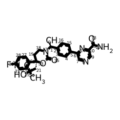 C[C@@H](c1ccc(-c2cncc(C(N)=O)n2)cc1)N1CC[C@](CC(C)(C)O)(c2ccc(F)cc2)OC1=O